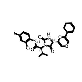 CC(C)[C@@H](C(=O)Nc1ccc(I)cc1Cl)N1C(=O)N[C@H](C2=COC=C(C3=CC=CCC3)O2)C1=O